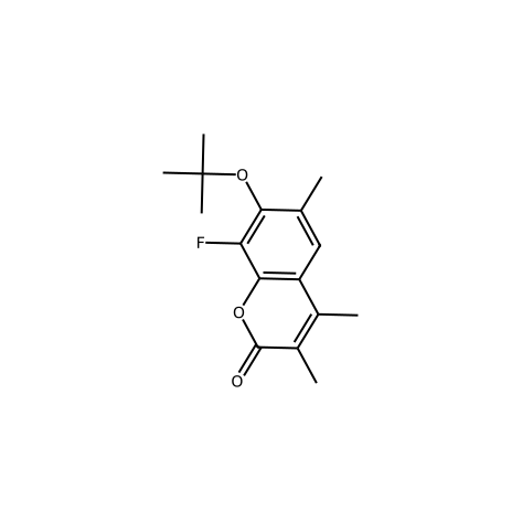 Cc1cc2c(C)c(C)c(=O)oc2c(F)c1OC(C)(C)C